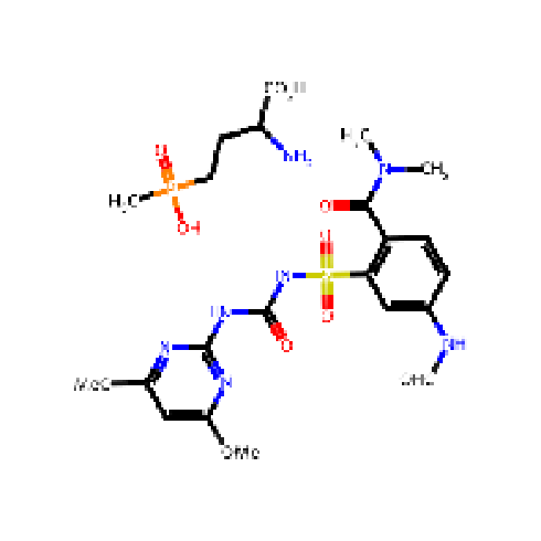 COc1cc(OC)nc(NC(=O)NS(=O)(=O)c2cc(NC=O)ccc2C(=O)N(C)C)n1.CP(=O)(O)CCC(N)C(=O)O